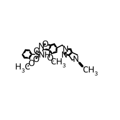 CC#CN1Cc2cn(Cc3cc(OC)c4c(NS(=O)(=O)c5ccccc5OC)noc4c3)nc2C1